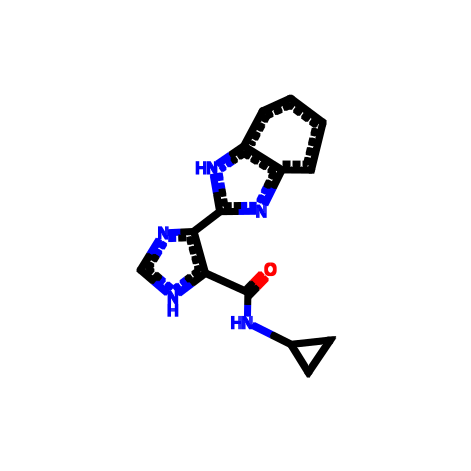 O=C(NC1CC1)c1[nH]cnc1-c1nc2ccccc2[nH]1